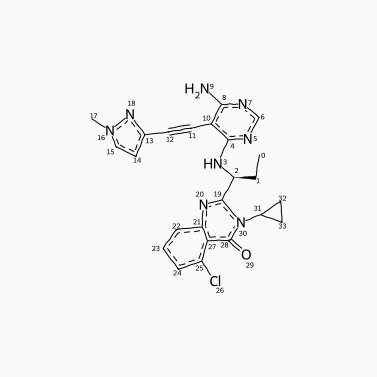 CC[C@H](Nc1ncnc(N)c1C#Cc1ccn(C)n1)c1nc2cccc(Cl)c2c(=O)n1C1CC1